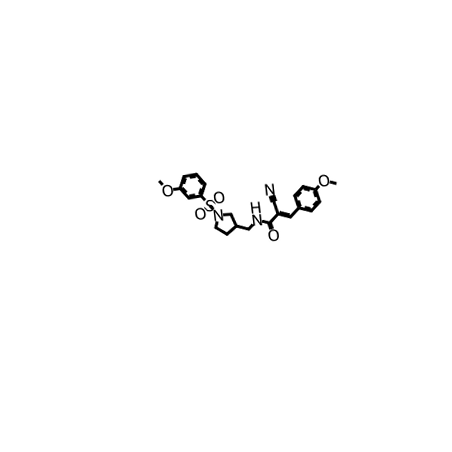 COc1ccc(/C=C(\C#N)C(=O)NCC2CCN(S(=O)(=O)c3cccc(OC)c3)C2)cc1